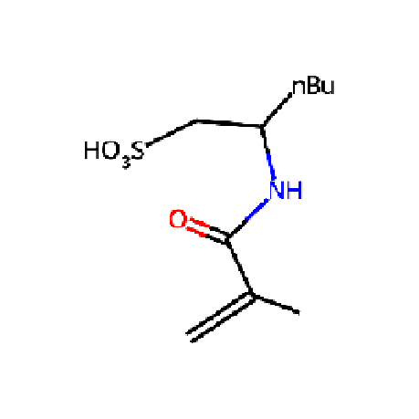 C=C(C)C(=O)NC(CCCC)CS(=O)(=O)O